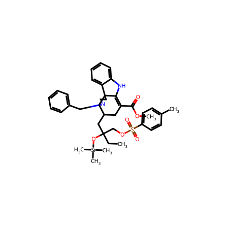 CCC(COS(=O)(=O)c1ccc(C)cc1)(CC1CC(C(=O)OC)=C2Nc3ccccc3C23CCN(Cc2ccccc2)C13)O[Si](C)(C)C